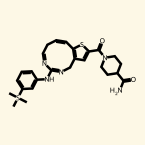 CS(C)(C)c1cccc(NC2=N/Cc3cc(C(=O)N4CCC(C(N)=O)CC4)sc3/C=C\C/C=N\2)c1